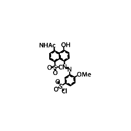 COc1ccc(S(=O)(=O)Cl)cc1N=Nc1ccc(O)c2c(NC(C)=O)ccc(S(=O)(=O)Cl)c12